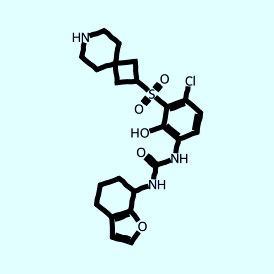 O=C(Nc1ccc(Cl)c(S(=O)(=O)C2CC3(CCNCC3)C2)c1O)NC1CCCc2ccoc21